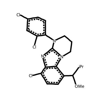 COC(c1ccc(Cl)c2nc3n(c12)CCCN3c1ccc(Cl)cc1Cl)C(C)C